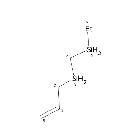 C=CC[SiH2]C[SiH2]CC